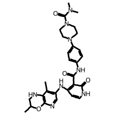 Cc1c(Nc2cc[nH]c(=O)c2C(=O)Nc2ccc(N3CCN(C(=O)N(C)C)CC3)cc2)cnc2c1NCC(C)O2